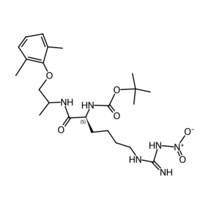 Cc1cccc(C)c1OCC(C)NC(=O)[C@H](CCCCNC(=N)N[N+](=O)[O-])NC(=O)OC(C)(C)C